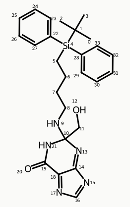 CC(C)(C)[Si](CCCCNC1(CO)N=C2N=CN=C2C(=O)N1)(c1ccccc1)c1ccccc1